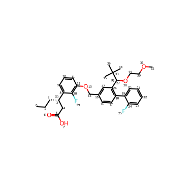 CCC[C@@H](CC(=O)O)c1cccc(OCc2ccc(-c3ccccc3F)c([C@H](OCCOC)C(C)(C)C)c2)c1F